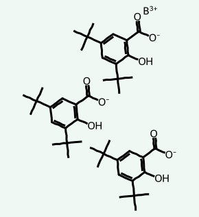 CC(C)(C)c1cc(C(=O)[O-])c(O)c(C(C)(C)C)c1.CC(C)(C)c1cc(C(=O)[O-])c(O)c(C(C)(C)C)c1.CC(C)(C)c1cc(C(=O)[O-])c(O)c(C(C)(C)C)c1.[B+3]